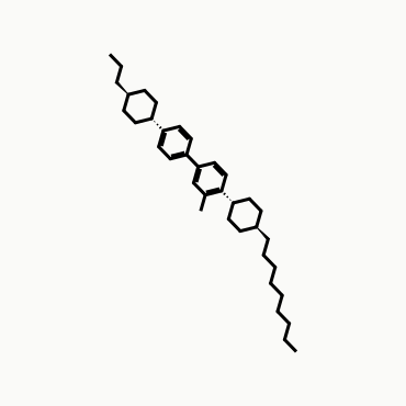 CCCCCCCCC[C@H]1CC[C@H](c2ccc(-c3ccc([C@H]4CC[C@H](CCC)CC4)cc3)cc2C)CC1